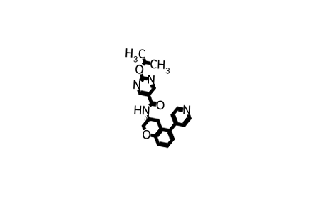 CC(C)Oc1ncc(C(=O)N[C@@H]2COc3cccc(-c4ccncc4)c3C2)cn1